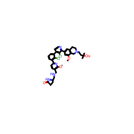 COc1cc(-c2nccc(-c3cccc(-c4ccc(CNCC5CCC(=O)N5)c(OC)n4)c3Cl)c2Cl)cc2c1CN(CCC(C)(C)O)CC2